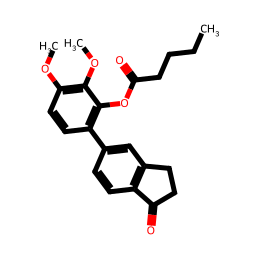 CCCCC(=O)Oc1c(-c2ccc3c(c2)CCC3=O)ccc(OC)c1OC